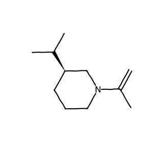 C=C(C)N1CCC[C@@H](C(C)C)C1